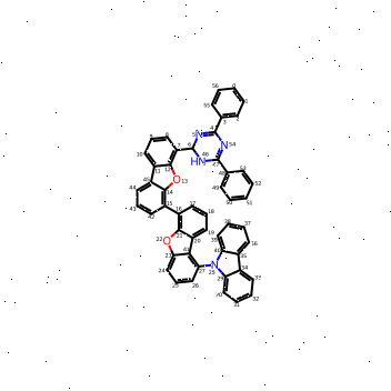 c1ccc(C2=NC(c3cccc4c3oc3c(-c5cccc6c5oc5cccc(-n7c8ccccc8c8ccccc87)c56)cccc34)NC(c3ccccc3)=N2)cc1